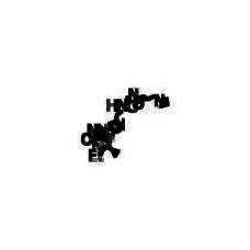 CCc1nc(C(N)=O)c(Nc2ccnc(CCNC(=O)CN(C)C(=O)C=CCN3CCC3)c2)nc1C1CC1